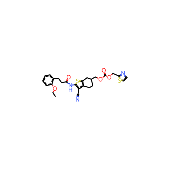 CCOc1ccccc1CCC(=O)Nc1sc2c(c1C#N)CCC(COC(=O)OCc1nccs1)C2